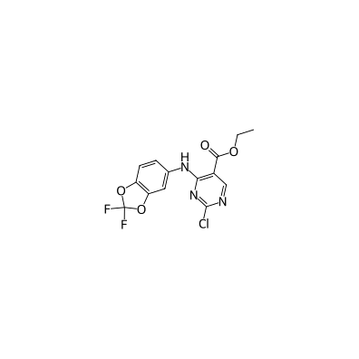 CCOC(=O)c1cnc(Cl)nc1Nc1ccc2c(c1)OC(F)(F)O2